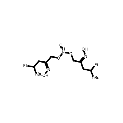 CCCCC(CC)CC(CO[PH](=O)OCC(CC(CC)CCCC)=NO)=NO